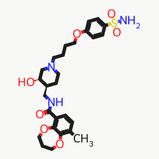 Cc1ccc(C(=O)NC[C@@H]2CCN(CCCCOc3ccc(S(N)(=O)=O)cc3)C[C@H]2O)c2c1OCCCO2